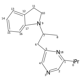 CC(C)c1cncc(CC(C)N2CCc3ccccc32)n1